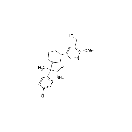 COc1ncc(C2CCCN(C(C)(C(N)=O)c3ccc(Cl)cn3)C2)cc1CO